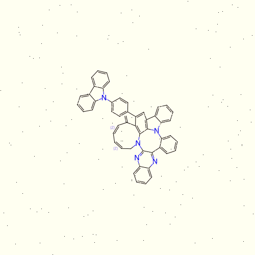 C=C1/C=C\C=C/Cn2c3nc4ccccc4nc3c3ccccc3n3c4ccccc4c4cc(-c5ccc(-n6c7ccccc7c7ccccc76)cc5)c1c2c43